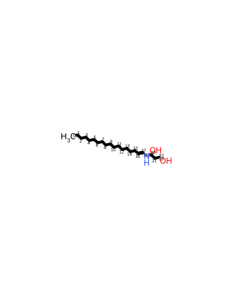 CCCCCCCCCCCCCCCCC=CNC(O)CCO